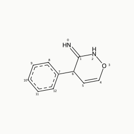 N=C1NOC=CC1c1ccccc1